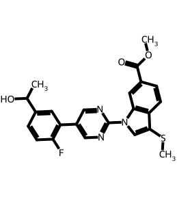 COC(=O)c1ccc2c(SC)cn(-c3ncc(-c4cc(C(C)O)ccc4F)cn3)c2c1